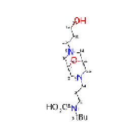 CC(C)(C)N(CCCN1CC2CN(CCCO)CC(C1)O2)C(=O)O